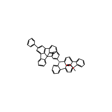 CC1(C)c2ccccc2-c2ccc(N(c3cccc(C45c6ccccc6-c6cc(-c7ccccc7)cc(c64)-c4ccccc45)c3)c3ccccc3-c3ccccc3)cc21